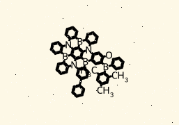 Cc1cc(C)c(B2c3ccccc3Oc3cc4c(cc32)B2c3ccc(-c5ccccc5)cc3N3c5ccccc5B5c6ccccc6N6c7ccccc7B7c8ccccc8N4c4c7c6c5c3c42)c(C)c1